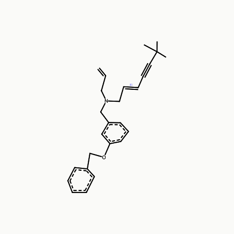 C=CCN(C/C=C/C#CC(C)(C)C)Cc1cccc(OCc2ccccc2)c1